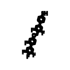 Fc1cc(OCc2c(F)cc(-c3ccc(S)cc3)cc2F)ccc1-c1cc(F)c(F)c(F)c1